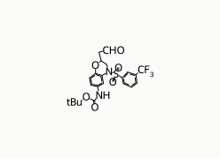 CC(C)(C)OC(=O)Nc1ccc2c(c1)N(S(=O)(=O)c1cccc(C(F)(F)F)c1)CC(CC=O)O2